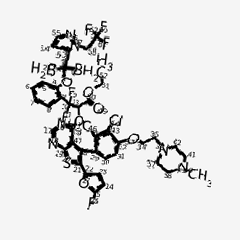 BC(B)(Oc1ccccc1C(F)(F)C(Oc1ncnc2sc(-c3ccc(F)o3)c(-c3ccc(OCCN4CCN(C)CC4)c(Cl)c3C)c12)C(=O)OCC)c1ccnn1CC(F)(F)F